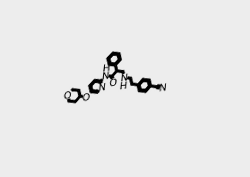 N#Cc1ccc(CCNCC(C(=O)Nc2ccc(OC3CCOCC3)cn2)c2ccccc2)cc1